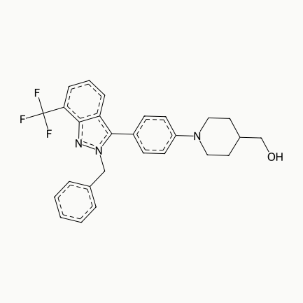 OCC1CCN(c2ccc(-c3c4cccc(C(F)(F)F)c4nn3Cc3ccccc3)cc2)CC1